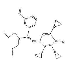 C=Cc1cccc([SiH2]N(CCC)CCC)c1.O=C1C=C(N2CC2)C(=O)C(N2CC2)=C1N1CC1